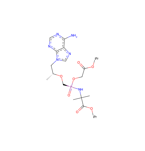 CC(C)OC(=O)CO[P@](=O)(CO[C@H](C)Cn1cnc2c(N)ncnc21)NC(C)(C)C(=O)OC(C)C